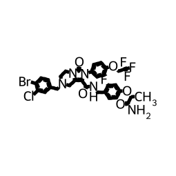 CC(Oc1ccc(CNC(=O)c2c3n(c(=O)n2-c2ccc(OCC(F)(F)F)cc2)CCN(Cc2ccc(Br)c(Cl)c2)C3)c(F)c1)C(N)=O